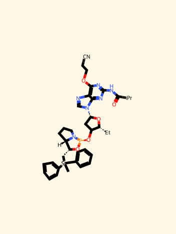 CC[C@H]1O[C@@H](n2cnc3c(OCCC#N)nc(NC(=O)C(C)C)nc32)CC1O[P@@]1O[C@H](C[Si](C)(c2ccccc2)c2ccccc2)[C@@H]2CCCN21